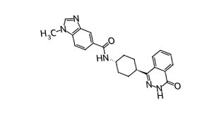 Cn1cnc2cc(C(=O)N[C@H]3CC[C@H](c4n[nH]c(=O)c5ccccc54)CC3)ccc21